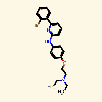 CCN(CC)CCOc1ccc(Nc2cccc(-c3ccccc3Br)n2)cc1